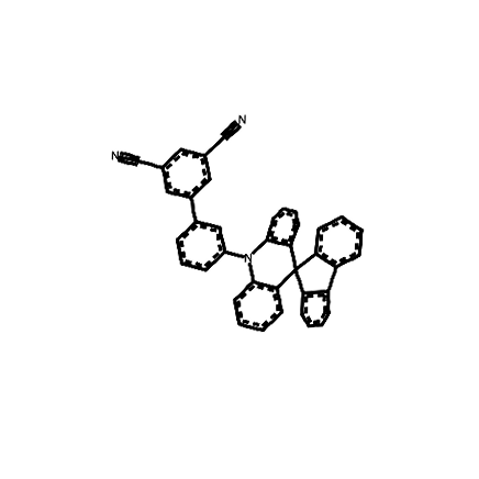 N#Cc1cc(C#N)cc(-c2cccc(N3c4ccccc4C4(c5ccccc5-c5ccccc54)c4ccccc43)c2)c1